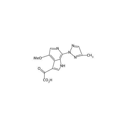 COc1cnc(-n2ncc(C)n2)c2[nH]cc(C(=O)C(=O)O)c12